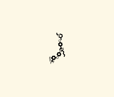 CCCCc1nc(-c2ccc(OCC3CCCN(CC)C3)cc2)cn1-c1ccc(Oc2ccc(F)c(C(F)(F)F)c2)cc1